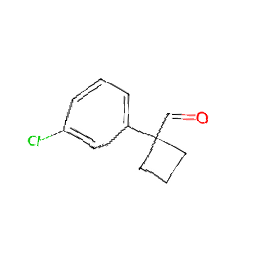 O=CC1(c2cccc(Cl)c2)CCC1